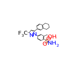 NS(=O)(=O)c1ccc(-n2nc(C(F)(F)F)cc2-c2ccc3c(c2)CCCC3)cc1CO